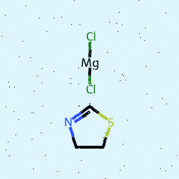 [C]1=NCCS1.[Cl][Mg][Cl]